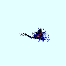 CCCCCCCCCCCCCCCC(=O)N[C@@H](CCCCN)C(=O)N[C@@H](C)C(=O)N[C@@H](CC(C)C)C(=O)N[C@H](C)CCCNC(=N)N